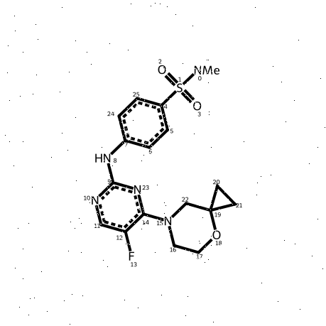 CNS(=O)(=O)c1ccc(Nc2ncc(F)c(N3CCOC4(CC4)C3)n2)cc1